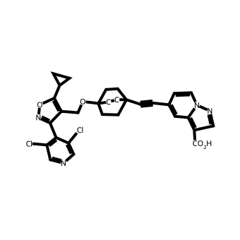 O=C(O)c1cnn2ccc(C#CC34CCC(OCc5c(-c6c(Cl)cncc6Cl)noc5C5CC5)(CC3)CC4)cc12